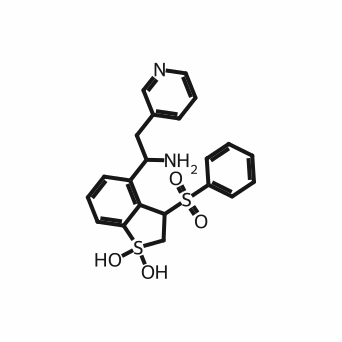 NC(Cc1cccnc1)c1cccc2c1C(S(=O)(=O)c1ccccc1)CS2(O)O